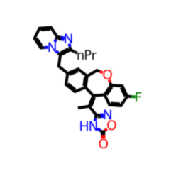 CCCc1nc2ccccn2c1Cc1ccc2c(c1)COc1cc(F)ccc1/C2=C(/C)c1noc(=O)[nH]1